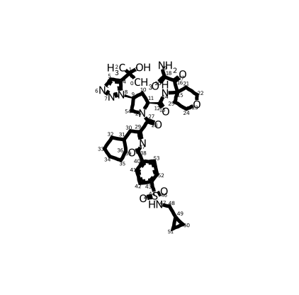 CC(C)(O)c1cnnn1[C@H]1C[C@@H](C(=O)NC2(C(=O)C(N)=O)CCOCC2)N(C(=O)/C(CC2CCCCC2)=N/C(=O)c2ccc(S(=O)(=O)NCC3CC3)cc2)C1